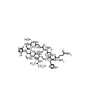 CC(C)C[C@H](NC(=O)[C@H](Cc1c[nH]cn1)NC(=O)[C@@H](N)CCC(N)=O)C(=O)N[C@@H](CS)C(=O)NCC(=O)N[C@@H](CO)C(=O)N[C@@H](Cc1c[nH]cn1)C(=O)N[C@@H](CC(C)C)C(=O)N[C@H](C(=O)N[C@@H](CCC(=O)O)C(=O)N[C@@H](C)C(=O)O)C(C)C